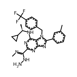 C/N=C(\NN)c1nc(N[C@H](C)C2CC2)c2c(n1)nc(-c1cccc(C)c1)n2Cc1ccc(C(F)(F)F)cc1